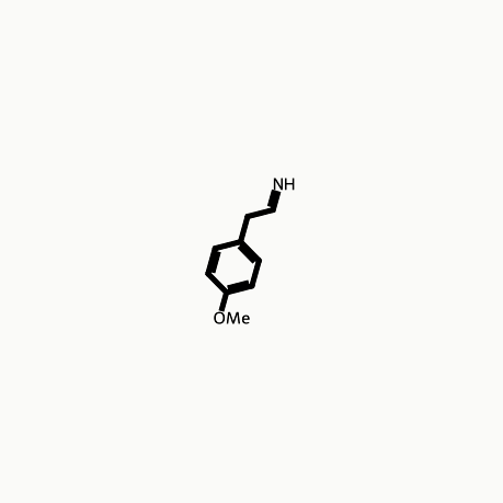 COc1ccc(CC=N)cc1